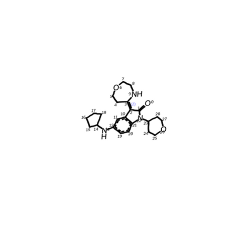 O=C1/C(=C2/CCOCCN2)c2cc(NC3CCCC3)ccc2N1C1CCOCC1